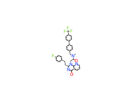 CN(Cc1ccc(-c2ccc(C(F)(F)F)cc2)cc1)C(=O)Cn1c(CCc2ccc(F)cc2)nc(=O)c2cccnc21